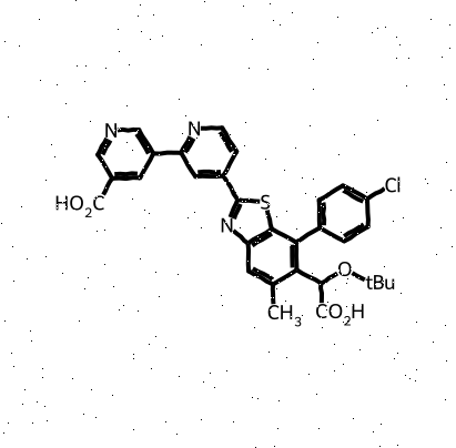 Cc1cc2nc(-c3ccnc(-c4cncc(C(=O)O)c4)c3)sc2c(-c2ccc(Cl)cc2)c1C(OC(C)(C)C)C(=O)O